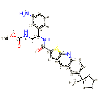 CC(C)(C)OC(=O)NC[C@H](NC(=O)c1cc2cc3cc(C4(C)CCCC4)ccc3nc2s1)c1cccc(N)c1